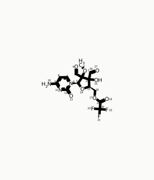 COC1(C=O)[C@H](n2ccc(N)nc2=O)O[C@H](COC(=O)C(F)(F)F)C1(O)C=O